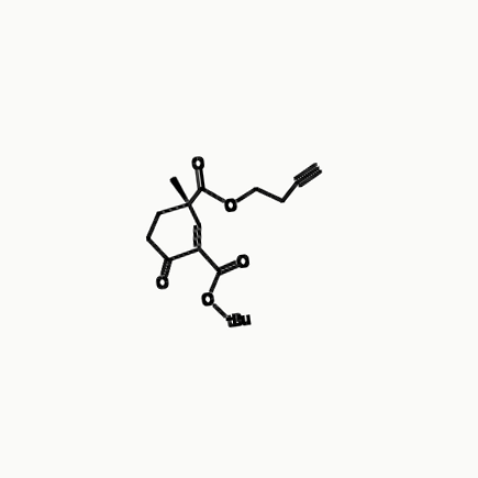 C#CCCOC(=O)[C@]1(C)C=C(C(=O)OC(C)(C)C)C(=O)CC1